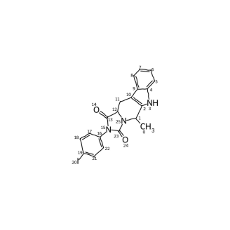 CC1c2[nH]c3ccccc3c2CC2C(=O)N(c3ccc(I)cc3)C(=O)N21